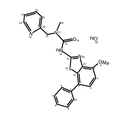 COc1ccc(-c2ccccc2)c2sc(NC(=O)N(C)Cc3ccccn3)nc12.Cl